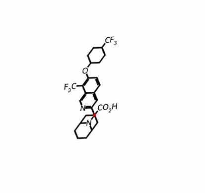 O=C(O)C1CC2CCCC(C1)N2Cc1cc2ccc(OC3CCC(C(F)(F)F)CC3)c(C(F)(F)F)c2cn1